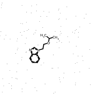 CC(C)OCCn1cnc2ccccc21